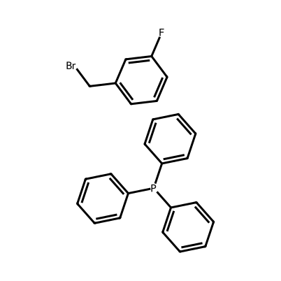 Fc1cccc(CBr)c1.c1ccc(P(c2ccccc2)c2ccccc2)cc1